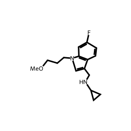 COCCCn1cc(CNC2CC2)c2ccc(F)cc21